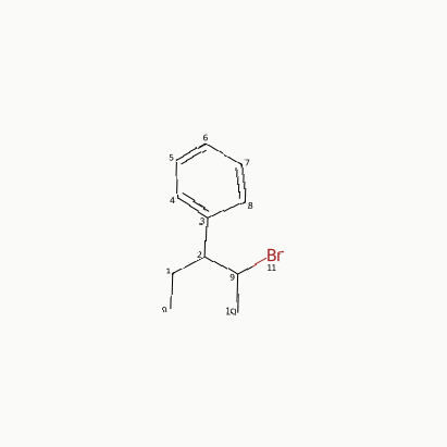 CCC(c1ccccc1)C(C)Br